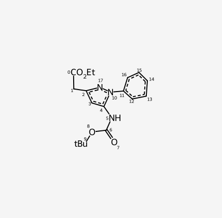 CCOC(=O)Cc1cc(NC(=O)OC(C)(C)C)n(-c2ccccc2)n1